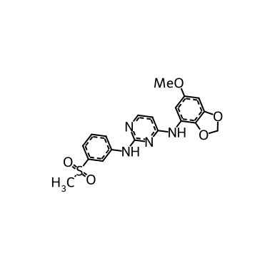 COc1cc(Nc2ccnc(Nc3cccc(S(C)(=O)=O)c3)n2)c2c(c1)OCO2